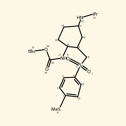 CSc1ccc(S(=O)(=O)CC2CC(NC(C)C)CCC2NC(=O)OC(C)(C)C)cc1